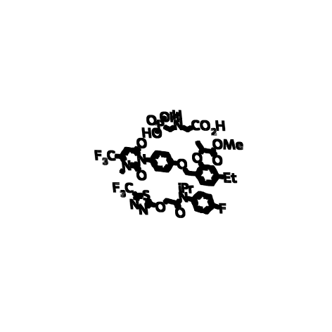 CC(C)N(C(=O)COc1nnc(C(F)(F)F)s1)c1ccc(F)cc1.CCc1ccc(COc2ccc(-n3c(=O)cc(C(F)(F)F)n(C)c3=O)cc2)c(OC(C)C(=O)OC)c1.O=C(O)CNCP(=O)(O)O